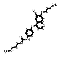 [C-]#[N+]c1cc2c(Oc3ccc(NC(=O)NCCCSC)cc3)ccnc2cc1OCCOC